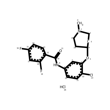 CN1CCC(Oc2cc(NC(=O)c3ccc(F)cc3F)ccc2Cl)CC1.Cl